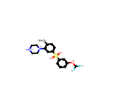 COc1ccc(S(=O)(=O)c2cccc(OC(F)F)c2)cc1N1CCNCC1